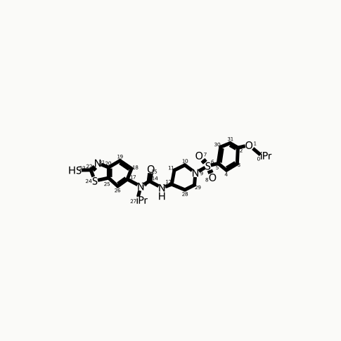 CC(C)Oc1ccc(S(=O)(=O)N2CCC(NC(=O)N(c3ccc4nc(S)sc4c3)C(C)C)CC2)cc1